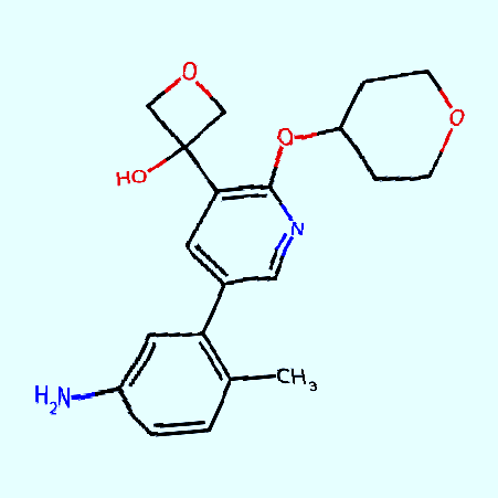 Cc1ccc(N)cc1-c1cnc(OC2CCOCC2)c(C2(O)COC2)c1